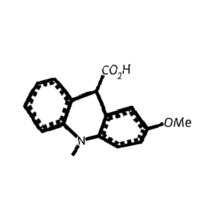 COc1ccc2c(c1)C(C(=O)O)c1ccccc1N2C